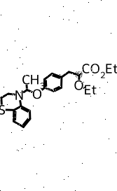 CCOC(=O)[C@H](Cc1ccc(OC(C)N2CCSc3ccccc32)cc1)OCC